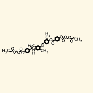 C=CC(=O)OCOC(=O)Oc1ccc(C(=O)Nc2cc(C)c(/N=C/c3ccc(OC(=O)c4ccc(OC(=O)OCOC(=O)C=C)cc4)c(C)c3)cc2C)cc1